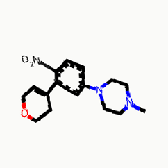 CN1CCN(c2ccc([N+](=O)[O-])c(C3=CCOCC3)c2)CC1